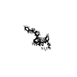 CC(=O)c1ccc(-c2cncc3[nH]c(-c4n[nH]c5ccc(-c6cncc(NC(=O)C7CCCC7)c6)nc45)cc23)s1